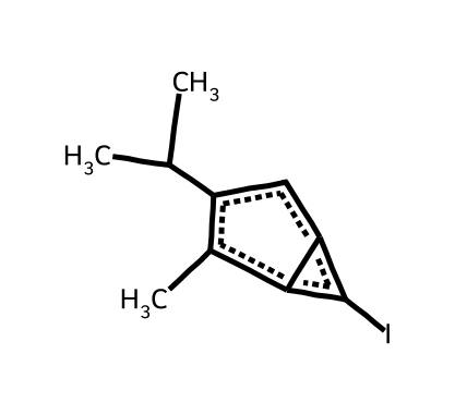 Cc1c(C(C)C)cc2c(I)c1-2